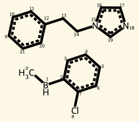 CBc1ccccc1Cl.c1ccc(CCn2ccnc2)cc1